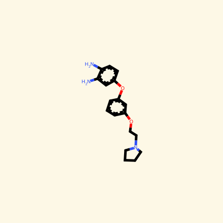 Nc1ccc(Oc2cccc(OCCN3CCCC3)c2)cc1N